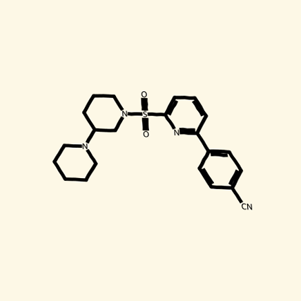 N#Cc1ccc(-c2cccc(S(=O)(=O)N3CCCC(N4CCCCC4)C3)n2)cc1